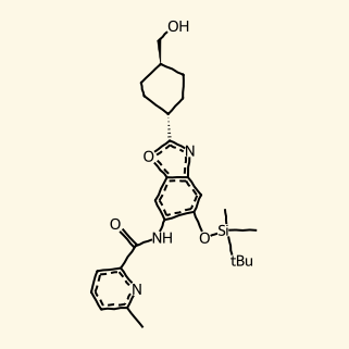 Cc1cccc(C(=O)Nc2cc3oc([C@H]4CC[C@H](CO)CC4)nc3cc2O[Si](C)(C)C(C)(C)C)n1